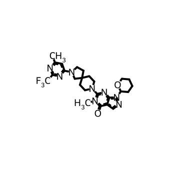 Cc1cc(N2CCC3(CCN(c4nc5c(cnn5C5CCCCO5)c(=O)n4C)CC3)C2)nc(C(F)(F)F)n1